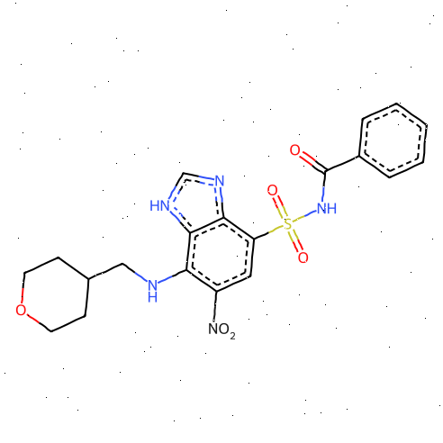 O=C(NS(=O)(=O)c1cc([N+](=O)[O-])c(NCC2CCOCC2)c2[nH]cnc12)c1ccccc1